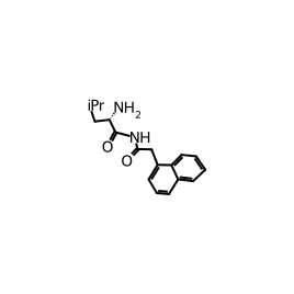 CC(C)C[C@H](N)C(=O)NC(=O)Cc1cccc2ccccc12